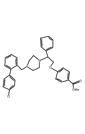 COC(=O)c1ccc(OCC(c2ccccc2)N2CCN(Cc3ccccc3-c3ccc(Cl)cc3)CC2)cc1